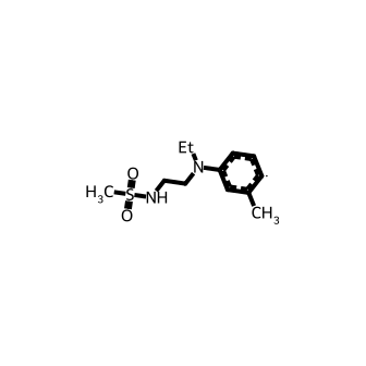 CCN(CCNS(C)(=O)=O)c1cc[c]c(C)c1